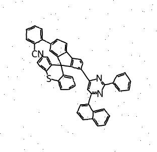 N#Cc1ccccc1-c1ccc2c(c1)C1(c3ccccc3Sc3ccccc31)c1cc(-c3cc(-c4cccc5ccccc45)nc(-c4ccccc4)n3)ccc1-2